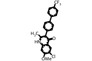 COc1cc2[nH]c(C)c(-c3ccc(-c4ccc(C(F)(F)F)cc4)cc3)c(=O)c2cc1Cl